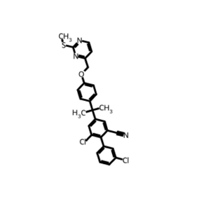 CSc1nccc(COc2ccc(C(C)(C)c3cc(Cl)c(-c4cccc(Cl)c4)c(C#N)c3)cc2)n1